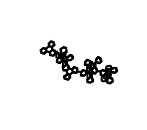 c1ccc(N2c3ccccc3B3c4cc(-c5ccc6c(c5)c5ccccc5c5ccc(N7c8ccccc8B8c9ccccc9N(c9ccc%10c%11ccccc%11c%11ccccc%11c%10c9)c9cccc7c98)cc56)ccc4N(c4ccccc4)c4cc(-c5cc6c7c(c5)Oc5ccccc5B7c5ccccc5O6)cc2c43)cc1